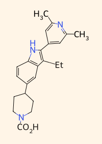 CCc1c(-c2cc(C)nc(C)c2)[nH]c2ccc(C3CCN(C(=O)O)CC3)cc12